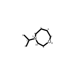 CC(C)N1CCCCOCC1